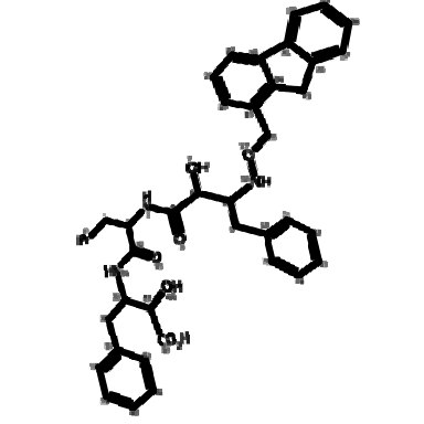 CC(C)CC(NC(=O)C(O)C(Cc1ccccc1)NOCc1cccc2c1Cc1ccccc1-2)C(=O)NC(Cc1ccccc1)C(O)C(=O)O